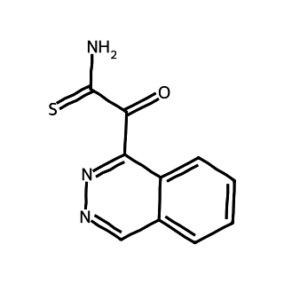 NC(=S)C(=O)c1nncc2ccccc12